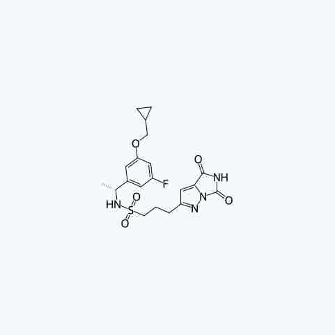 C[C@@H](NS(=O)(=O)CCCc1cc2n(n1)C(=O)NC2=O)c1cc(F)cc(OCC2CC2)c1